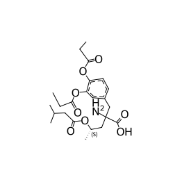 CCC(=O)Oc1ccc(CC(N)(C[C@H](C)OC(=O)CC(C)C)C(=O)O)cc1OC(=O)CC